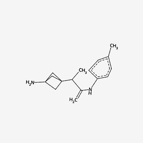 C=C(Nc1ccc(C)cc1)C(C)C12CC(N)(C1)C2